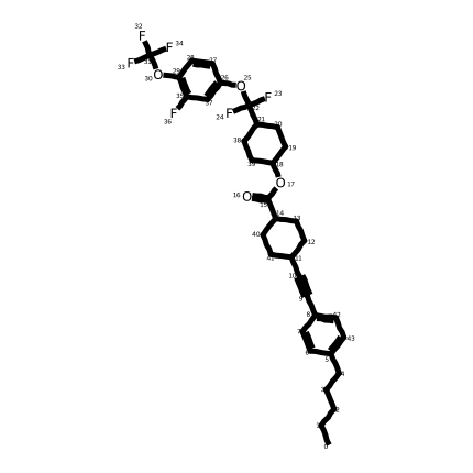 CCCCCc1ccc(C#CC2CCC(C(=O)OC3CCC(C(F)(F)Oc4ccc(OC(F)(F)F)c(F)c4)CC3)CC2)cc1